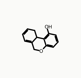 Oc1cccc2c1C1CC=CC=C1CO2